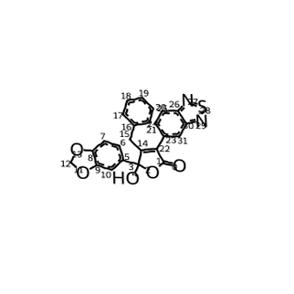 O=C1OC(O)(c2ccc3c(c2)OCO3)C(Cc2ccccc2)=C1c1ccc2nsnc2c1